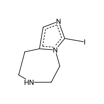 Ic1ncc2n1CCNCC2